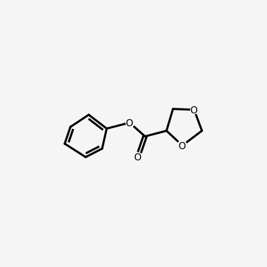 O=C(Oc1ccccc1)C1COCO1